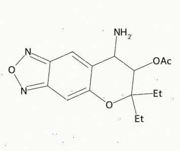 CCC1(CC)Oc2cc3nonc3cc2C(N)C1OC(C)=O